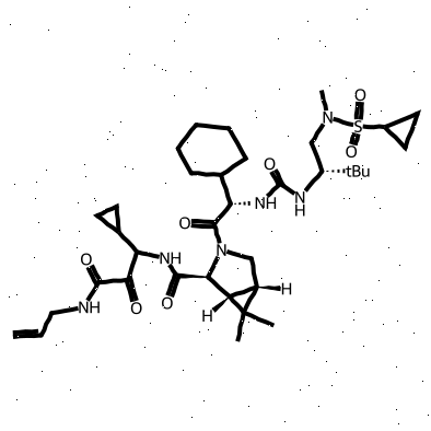 C=CCNC(=O)C(=O)C(NC(=O)[C@@H]1[C@@H]2[C@H](CN1C(=O)[C@@H](NC(=O)N[C@H](CN(C)S(=O)(=O)C1CC1)C(C)(C)C)C1CCCCC1)C2(C)C)C1CC1